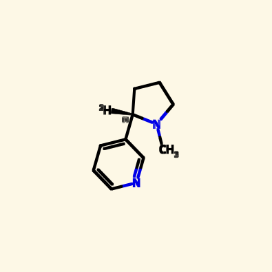 [2H][C@@]1(c2cccnc2)CCCN1C